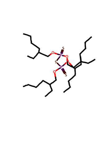 CCCCC(CC)COP(=S)(OCC(CC)CCCC)SP(=S)(OCC(CC)CCCC)OCC(CC)CCCC